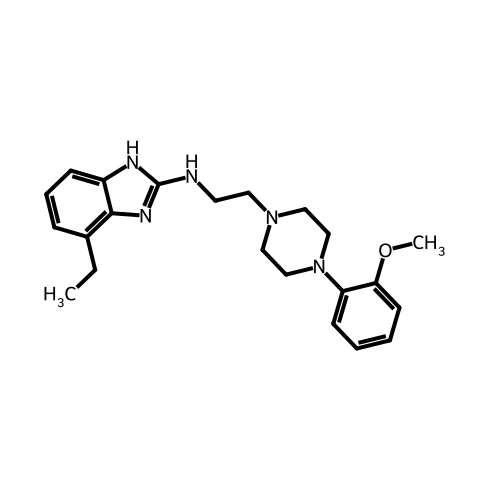 CCc1cccc2[nH]c(NCCN3CCN(c4ccccc4OC)CC3)nc12